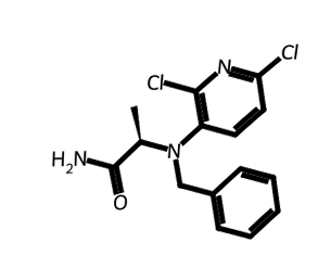 C[C@H](C(N)=O)N(Cc1ccccc1)c1ccc(Cl)nc1Cl